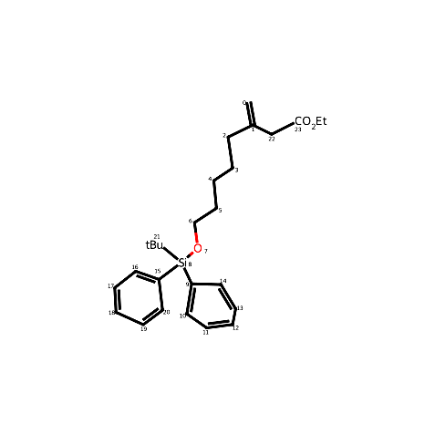 C=C(CCCCCO[Si](c1ccccc1)(c1ccccc1)C(C)(C)C)CC(=O)OCC